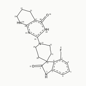 O=C1Nc2cccc(F)c2C12CCN(c1nc3c(c(=O)[nH]1)CCCN3)CC2